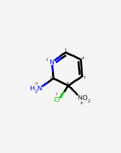 NC1N=CC=CC1(Cl)[N+](=O)[O-]